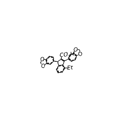 CCc1cccc2c1C(c1ccc3c(c1)OCO3)=C(C(=O)O)C2c1ccc2c(c1)OCO2